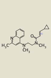 Cc1cc(N(C)CCN(C)C(=O)/C=C/C2CC2)c2ccccc2n1